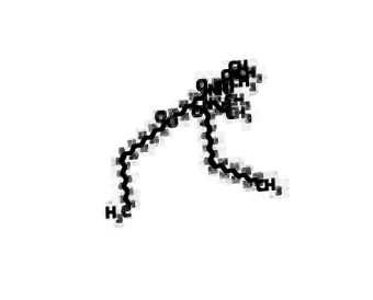 CCCCCCCC/C=C\CCCCCCCC(=O)OCCCCCC(C(=O)NCC(=O)OC(C)(C)C)N(CCN(C)C)C(=O)CCCCCCC/C=C\CCCCCCCC